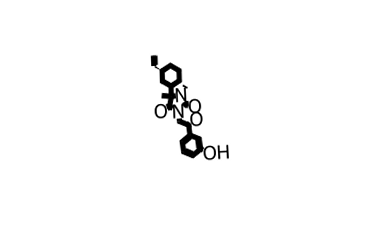 C=C[C@@H]1CCCC(C2(C)C(=O)N(CC(=O)c3cccc(O)c3)C(=O)N2C)C1